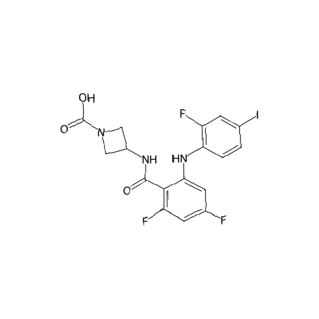 O=C(NC1CN(C(=O)O)C1)c1c(F)cc(F)cc1Nc1ccc(I)cc1F